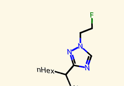 CCCCCCC(CCCCCC)c1ncn(CCF)n1